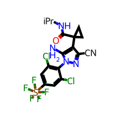 CC(C)NC(=O)C1(c2c(C#N)nn(-c3c(Cl)cc(S(F)(F)(F)(F)F)cc3Cl)c2N)CC1